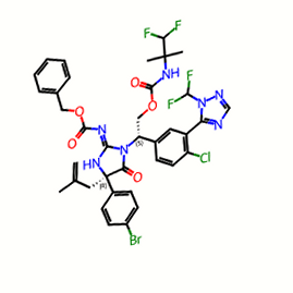 C=C(C)C[C@]1(c2ccc(Br)cc2)NC(=NC(=O)OCc2ccccc2)N([C@H](COC(=O)NC(C)(C)C(F)F)c2ccc(Cl)c(-c3ncnn3C(F)F)c2)C1=O